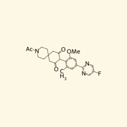 COc1cc(-c2ncc(F)cn2)cc(C)c1C1C(=O)CC2(CCN(C(C)=O)CC2)CC1=O